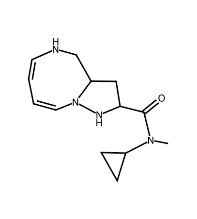 CN(C(=O)C1CC2CNC=CC=CN2N1)C1CC1